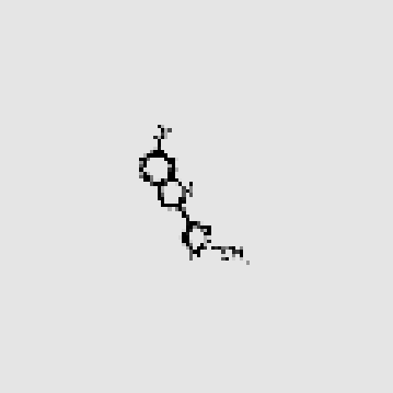 Cn1cc(C2=Nc3cc(Br)ccc3C2)cn1